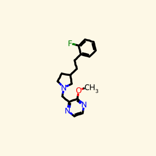 COc1nccnc1CN1CCC(CCc2ccccc2F)C1